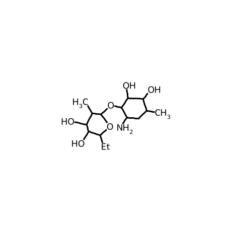 CCC1OC(OC2C(N)CC(C)C(O)C2O)C(C)C(O)C1O